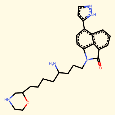 NC(CCCCC1CNCCO1)CCCN1C(=O)c2cccc3c(-c4ccn[nH]4)ccc1c23